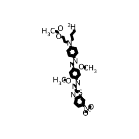 [2H]CCCN(CCOC(C)=O)c1ccc(N=Nc2cc(OC)c(N=Nc3nc4ccc([N+](=O)[O-])cc4s3)cc2OC)cc1